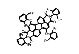 CC(C)c1cccc(C(C)C)c1Oc1cc2c3c(ccc4c5c(Oc6c(C(C)C)cccc6C(C)C)cc6c7c(ccc(c1c34)c75)C(=O)N(c1c(C(C)C)cccc1C(C)C)C6=O)C(=O)N(c1c(C(C)C)cccc1C(C)C)C2=O